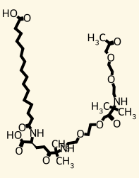 CC(=O)COCCOCCNC(C)(C)C(=O)COCCOCCNC(C)(C)C(=O)CC[C@H](NC(=O)CCCCCCCCCCCCCCC(=O)O)C(=O)O